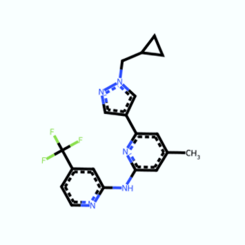 Cc1cc(Nc2cc(C(F)(F)F)ccn2)nc(-c2cnn(CC3CC3)c2)c1